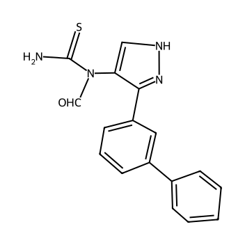 NC(=S)N(C=O)c1c[nH]nc1-c1cccc(-c2ccccc2)c1